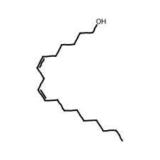 CCCCCCCC/C=C\C/C=C\CCCCCO